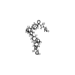 CN=C[C@H]1C[C@H](C(=O)N2CCN(c3ccnn4cc(-c5ccc(C6(OC)CCN([C@@H](C)COC)CC6)cc5)cc34)CC2)C1